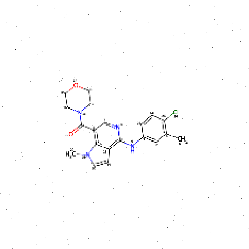 Cc1cc(Nc2ncc(C(=O)N3CCOCC3)c3c2ccn3C)ccc1Cl